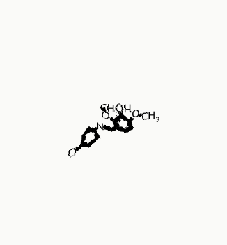 COc1ccc(C=Nc2ccc(Cl)cc2)c(OC)c1O